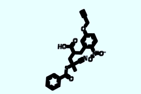 C#CCOc1ccc([N+](=O)[O-])c(CC(CC(C)(C#N)SC(=O)c2ccccc2)C(=O)O)c1